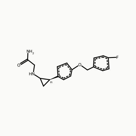 NC(=O)CNC1C[C@@H]1c1ccc(OCc2ccc(F)cc2)cc1